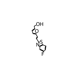 OCc1ccc(C=Cc2nc3cc(F)ccc3s2)o1